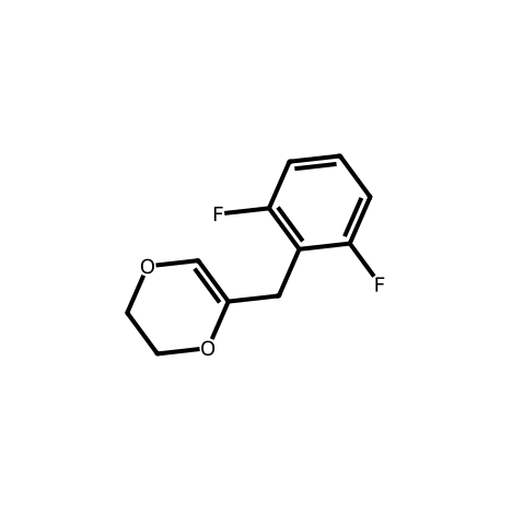 Fc1cccc(F)c1CC1=COCCO1